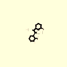 O=Cc1c(-c2cccc(F)c2F)[nH]c2c(F)cccc12